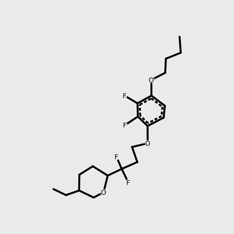 CCCCOc1ccc(OCCC(F)(F)C2CCC(CC)CO2)c(F)c1F